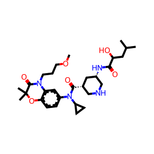 COCCCN1C(=O)C(C)(C)Oc2ccc(N(C(=O)[C@H]3CNC[C@@H](NC(=O)C(O)CC(C)C)C3)C3CC3)cc21